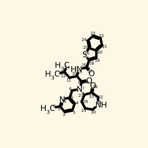 Cc1cccc(CN(C(=O)C(CC(C)C)NC(=O)c2cc3ccccc3s2)[C@H]2CCCNCC2=O)n1